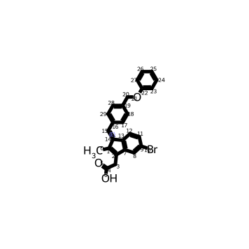 CC1=C(CC(=O)O)c2cc(Br)ccc2/C1=C\c1ccc(COc2ccccc2)cc1